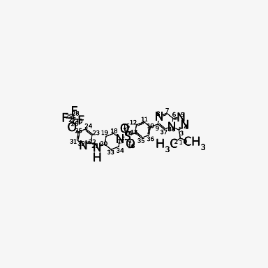 CC(C)c1nnc2cnc(-c3ccc(S(=O)(=O)N4CCC(Nc5ccc(OC(F)(F)F)cn5)CC4)cc3)cn12